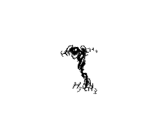 Cn1c(=O)n(C2CCC(=O)NC2=O)c2ccc(N3CCN(CCC4CCN(C(=O)OC(C)(C)C)CC4)CC3)c(F)c21